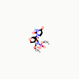 COC[C@@]12COC(C(n3ccc(=O)[nH]c3=O)O1)[C@H]2CNP(=O)(O)OC